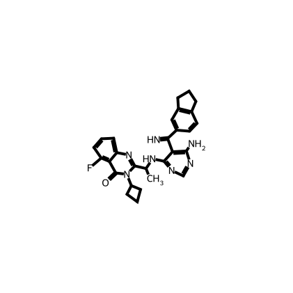 CC(Nc1ncnc(N)c1C(=N)c1ccc2c(c1)CCC2)c1nc2cccc(F)c2c(=O)n1C1CCC1